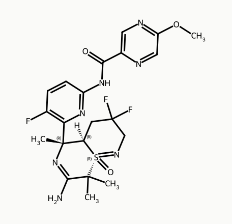 COc1cnc(C(=O)Nc2ccc(F)c([C@@]3(C)N=C(N)C(C)(C)[S@@]4(=O)=NCC(F)(F)C[C@H]34)n2)cn1